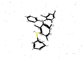 Cc1cc(C)c(B(c2ccccc2)c2c(C)cc(C)c(Sc3ccccc3)c2C)c(C)c1